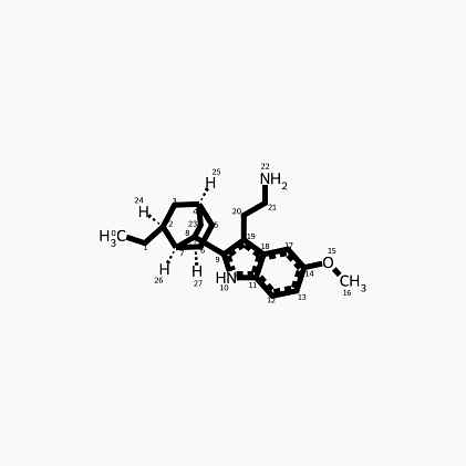 CC[C@H]1C[C@H]2CC[C@@H]1[C@H](c1[nH]c3ccc(OC)cc3c1CCN)C2